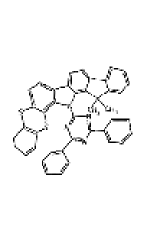 CC1(C)c2ccccc2-c2ccc3c4ccc5c(c4n(-c4nc(-c6ccccc6)nc(-c6ccccc6)n4)c3c21)SC1=C(CCC=C1)S5